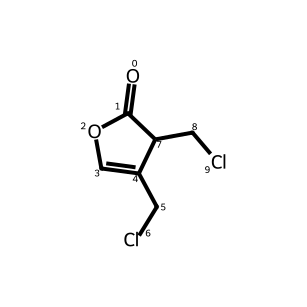 O=C1OC=C(CCl)C1CCl